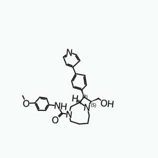 COc1ccc(NC(=O)N2CCCCN3[C@H](CO)[C@H](c4ccc(-c5ccncc5)cc4)[C@@H]3C2)cc1